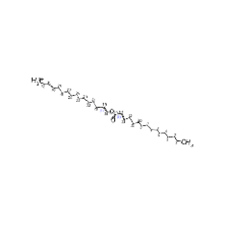 CCCCCCCCCCCCC/C=C/C(=O)O/C=C/CCCCCCCCCCCCCC